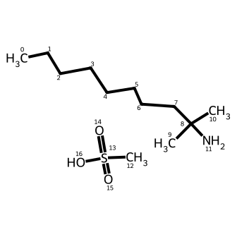 CCCCCCCCC(C)(C)N.CS(=O)(=O)O